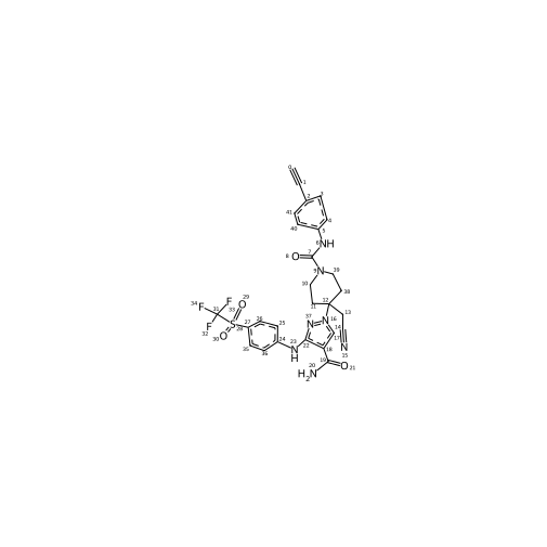 C#Cc1ccc(NC(=O)N2CCC(CC#N)(n3cc(C(N)=O)c(Nc4ccc(S(=O)(=O)C(F)(F)F)cc4)n3)CC2)cc1